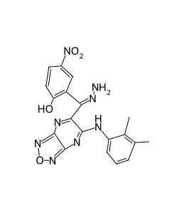 Cc1cccc(Nc2nc3nonc3nc2C(=NN)c2cc([N+](=O)[O-])ccc2O)c1C